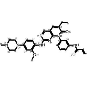 C=CC(=O)Nc1cccc(-n2c(=O)c(CC)cc3cnc(Nc4ccc(N5CCN(C)CC5)cc4OC)nc32)c1